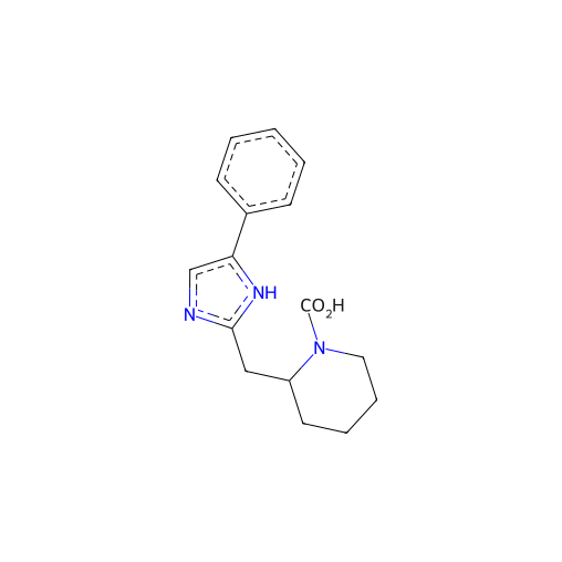 O=C(O)N1CCCCC1Cc1ncc(-c2ccccc2)[nH]1